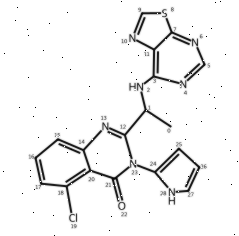 CC(Nc1ncnc2scnc12)c1nc2cccc(Cl)c2c(=O)n1-c1ccc[nH]1